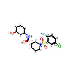 O=C(NC1CCCC(O)C1)[C@H]1CCCN(S(=O)(=O)c2cc(Cl)ccc2F)C1